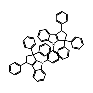 c1ccc(C2CC(c3ccccc3)(c3ccccc3)c3c2c2ccccc2n3-c2cccc(-n3c4c(c5ccccc53)C(c3ccccc3)CC4(c3ccccc3)c3ccccc3)c2)cc1